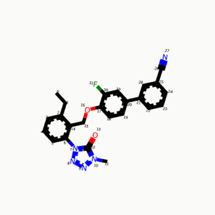 CCc1cccc(-n2nnn(C)c2=O)c1COc1ccc(-c2cccc(C#N)c2)cc1F